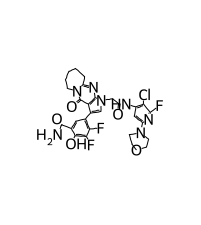 NC(=O)c1cc(-c2cn(CC(=O)Nc3cc(N4CCOCC4)nc(F)c3Cl)c3nc4n(c(=O)c23)CCCCC4)c(F)c(F)c1O